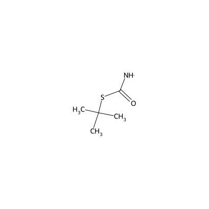 CC(C)(C)SC([NH])=O